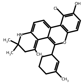 CC1=CC(C2=c3c(ccc4c3=C(C)CC(C)(C)N4)-c3c(ccc(O)c3Cl)O2)CCC1